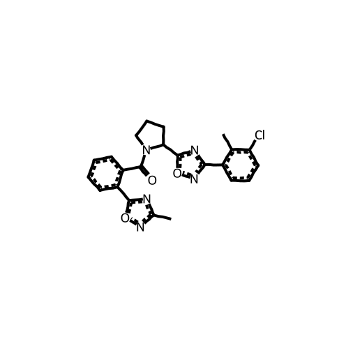 Cc1noc(-c2ccccc2C(=O)N2CCCC2c2nc(-c3cccc(Cl)c3C)no2)n1